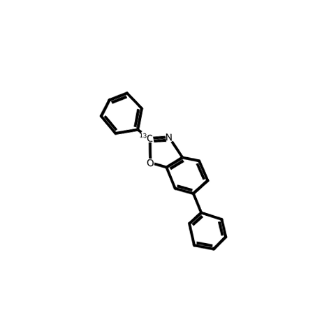 c1ccc(-c2ccc3n[13c](-c4ccccc4)oc3c2)cc1